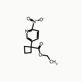 CCOC(=O)C1(c2ccc([N+](=O)[O-])nc2)CCC1